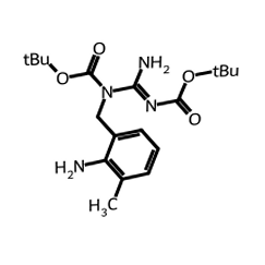 Cc1cccc(CN(C(=O)OC(C)(C)C)C(N)=NC(=O)OC(C)(C)C)c1N